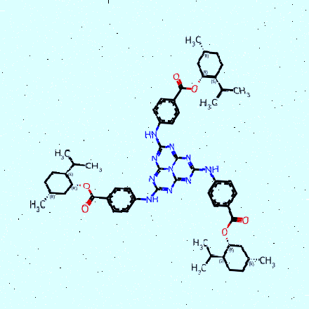 CC(C)[C@@H]1CC[C@@H](C)C[C@H]1OC(=O)c1ccc(NC2=NC3=NC(Nc4ccc(C(=O)O[C@@H]5C[C@H](C)CC[C@H]5C(C)C)cc4)=NC4=NC(Nc5ccc(C(=O)O[C@@H]6C[C@H](C)CC[C@H]6C(C)C)cc5)=NC(=N2)N34)cc1